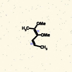 C/C=C\C(OC)=C(/C)OC